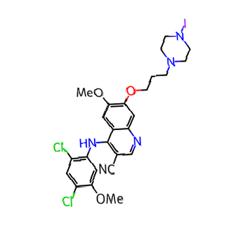 COc1cc(Nc2c(C#N)cnc3cc(OCCCN4CCN(I)CC4)c(OC)cc23)c(Cl)cc1Cl